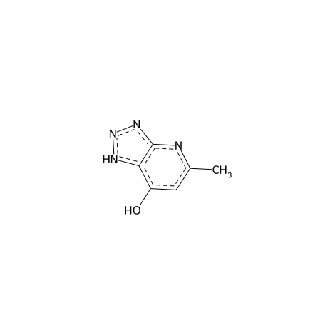 Cc1cc(O)c2[nH]nnc2n1